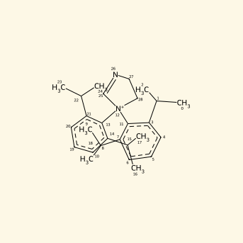 CC(C)c1cccc(C(C)C)c1[N+]1(c2c(C(C)C)cccc2C(C)C)C=NCC1